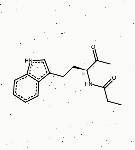 CCC(=O)N[C@@H](CCc1c[nH]c2ccccc12)C(C)=O